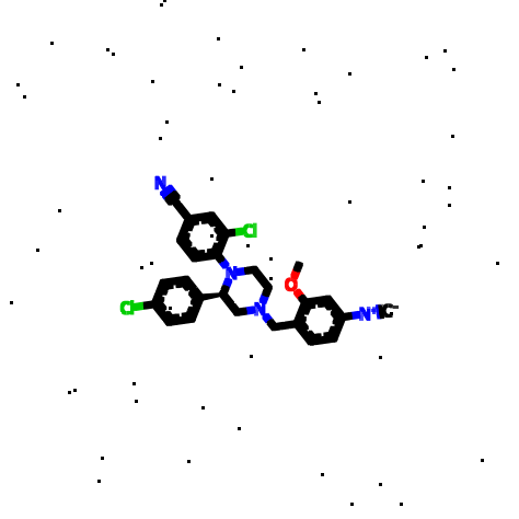 [C-]#[N+]c1ccc(CN2CCN(c3ccc(C#N)cc3Cl)[C@H](c3ccc(Cl)cc3)C2)c(OC)c1